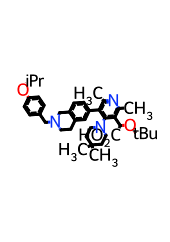 Cc1nc(C)c(C(OC(C)(C)C)C(=O)O)c(N2CCC(C)(C)CC2)c1-c1ccc2c(c1)CCN(Cc1ccc(OC(C)C)cc1)C2